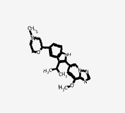 COc1cc(-c2[nH]c3ccc(C4CN(C)CCO4)cc3c2C(C)C)cn2ncnc12